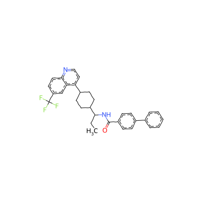 CCC(NC(=O)c1ccc(-c2ccccc2)cc1)C1CCC(c2ccnc3ccc(C(F)(F)F)cc23)CC1